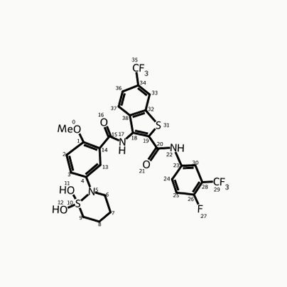 COc1ccc(N2CCCCS2(O)O)cc1C(=O)Nc1c(C(=O)Nc2ccc(F)c(C(F)(F)F)c2)sc2cc(C(F)(F)F)ccc12